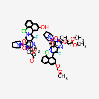 CC(C)(C)OC(=O)N1C2CCC1CN(c1nc(OCC=O)nc3c(F)c(-c4cc(O)cc5cccc(Cl)c45)ncc13)C2.COCOc1cc(-c2ncc3c(N4CC5CCC(C4)N5C(=O)OC(C)(C)C)nc(OCC(OC)OC)nc3c2F)c2c(Cl)cccc2c1